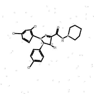 CC[C@@H]1C(C(=O)NN2CCCCC2)=NN(c2ccc(Cl)cc2Cl)[C@@H]1c1ccc(Cl)cc1